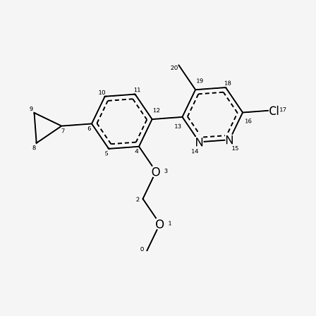 COCOc1cc(C2CC2)ccc1-c1nnc(Cl)cc1C